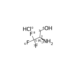 Cl.N[C@H](CO)C(F)(F)F